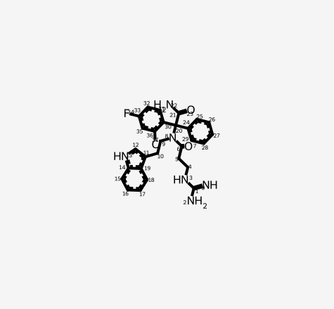 N=C(N)NCCC(=O)N(CCc1c[nH]c2ccccc12)C(C(N)=O)(c1ccccc1)c1ccc(F)cc1Cl